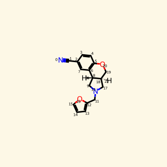 N#Cc1ccc2c(c1)[C@H]1CN(Cc3ccco3)C[C@@H]1CO2